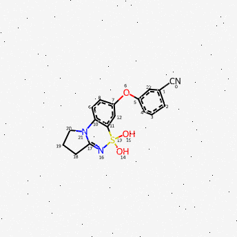 N#Cc1cccc(Oc2ccc3c(c2)S(O)(O)N=C2CCCN23)c1